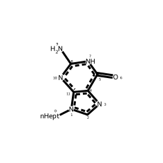 CCCCCCCn1cnc2c(=O)[nH]c(N)nc21